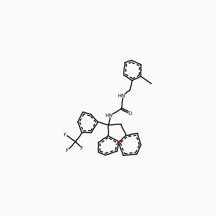 Cc1ccccc1CNC(=O)NC(Cc1ccccc1)(c1cccc(C(F)(F)F)c1)c1ccccn1